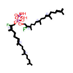 CC(C)=CCC/C(C)=C/CC/C(C)=C/CC/C(C)=C(/F)COP(=O)(OC/C(F)=C(/C)CC/C=C(\C)CC/C=C(\C)CCC=C(C)C)OP(=O)(O)O